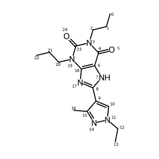 CCCn1c(=O)c2[nH]c(-c3cn(CC)nc3C)nc2n(CCC)c1=O